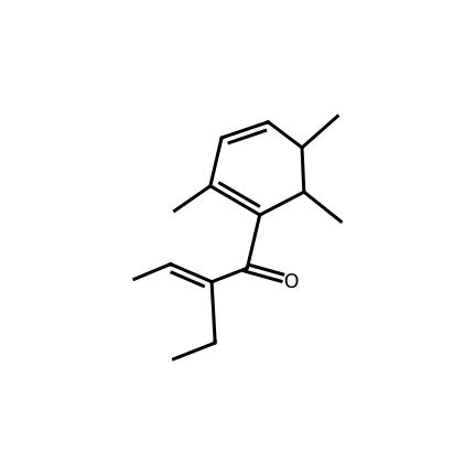 CC=C(CC)C(=O)C1=C(C)C=CC(C)C1C